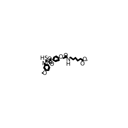 COC(=O)CCCCCNC(=O)COc1ccc(S(=O)(=O)n2c(S)nc3cc(OC)ccc32)cc1